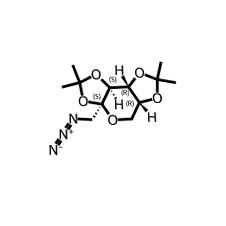 CC1(C)O[C@@H]2[C@@H](CO[C@@]3(CN=[N+]=[N-])OC(C)(C)O[C@@H]23)O1